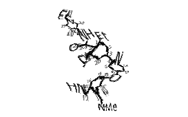 CCc1cc(-c2cc(Oc3ccc(C=N)c(NC)c3)ccn2)cc(F)c1C(=O)NC1CCN(CC)C1